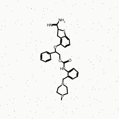 CN1CCN(Cc2ccccc2NC(=O)OCC(Oc2cccc3c2CC(C(=N)N)S3)c2ccccc2)CC1